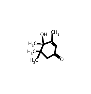 CC1=CC(=O)CC(C)(C)[C@]1(C)O